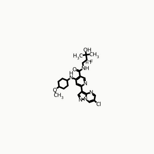 COC1CCC(Nc2cc(-c3cnn4cc(Cl)cnc34)ncc2C(=O)NC[C@@H](F)C(C)(C)O)CC1